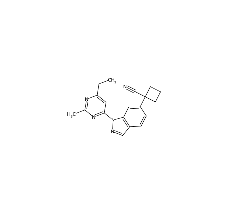 CCc1cc(-n2ncc3ccc(C4(C#N)CCC4)cc32)nc(C)n1